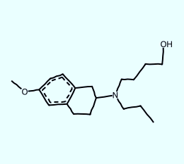 CCCN(CCCCO)C1CCc2cc(OC)ccc2C1